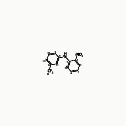 O=[N+]([O-])c1cccnc1Nc1ccnc(C(F)(F)F)c1